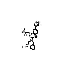 CN(C)C(=O)COc1cc(-c2cn[nH]c2)ccc1NC(=O)N(CCCO)CC1CCCCC1